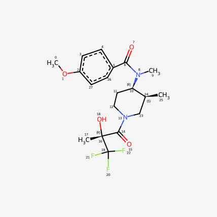 COc1ccc(C(=O)N(C)[C@@H]2CCN(C(=O)[C@@](C)(O)C(F)(F)F)C[C@@H]2C)cc1